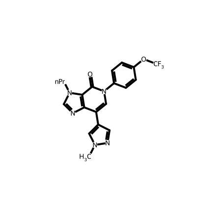 CCCn1cnc2c(-c3cnn(C)c3)cn(-c3ccc(OC(F)(F)F)cc3)c(=O)c21